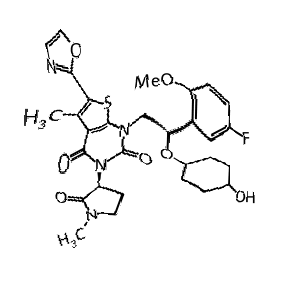 COc1ccc(F)cc1[C@H](Cn1c(=O)n([C@H]2CCN(C)C2=O)c(=O)c2c(C)c(-c3ncco3)sc21)OC1CCC(O)CC1